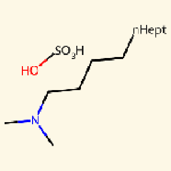 CCCCCCCCCCCN(C)C.O=S(=O)(O)O